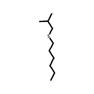 [CH2]C(C)CSCCCCCC